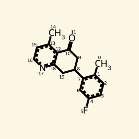 Cc1ccc(F)cc1C1CC(=O)c2c(C)ccnc2C1